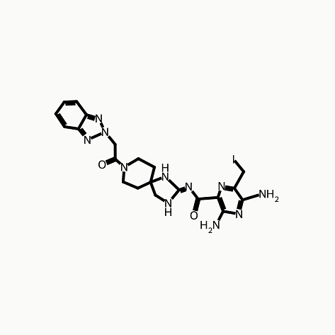 Nc1nc(N)c(C(=O)/N=C2\NCC3(CCN(C(=O)Cn4nc5ccccc5n4)CC3)N2)nc1CI